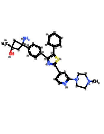 CN1CCN(c2cc(-c3nc(-c4ccc([C@]5(N)C[C@](C)(O)C5)cc4)c(-c4ccccc4)s3)ccn2)CC1